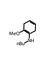 CCCCNC1=C(OC)CC=CC1